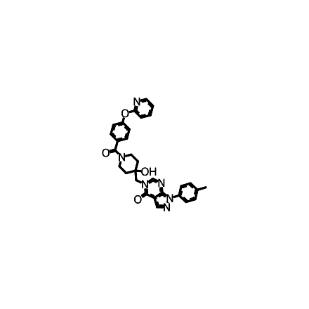 Cc1ccc(-n2ncc3c(=O)n(CC4(O)CCN(C(=O)c5ccc(Oc6ccccn6)cc5)CC4)cnc32)cc1